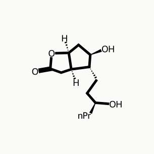 CCC[C@H](O)CC[C@@H]1[C@H]2CC(=O)O[C@H]2C[C@H]1O